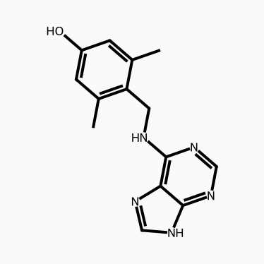 Cc1cc(O)cc(C)c1CNc1ncnc2[nH]cnc12